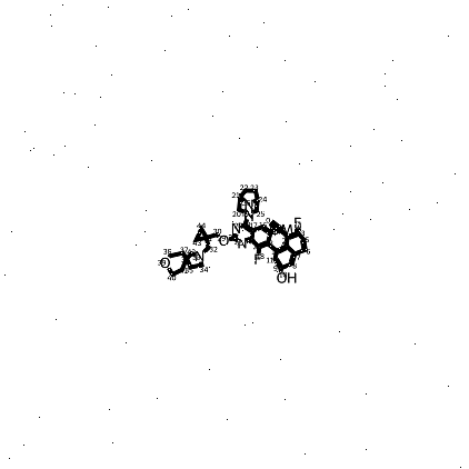 C#Cc1c(F)ccc2cc(O)cc(-c3c(OC)cc4c(N5CC6CCC(C5)N6)nc(OCC5(CN6CCC7(CCOCC7)C6)CC5)nc4c3F)c12